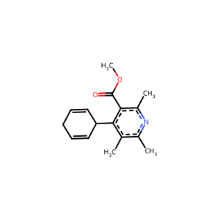 COC(=O)c1c(C)nc(C)c(C)c1C1C=CCC=C1